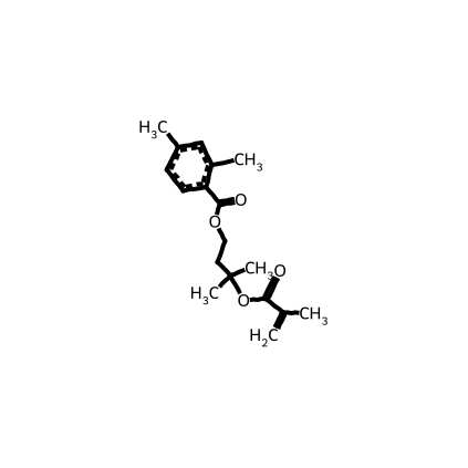 C=C(C)C(=O)OC(C)(C)CCOC(=O)c1ccc(C)cc1C